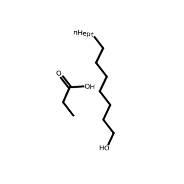 CCC(=O)O.CCCCCCCCCCCCCCO